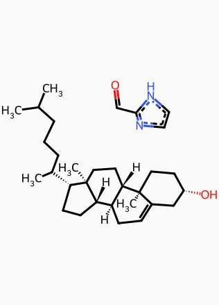 CC(C)CCCC(C)[C@H]1CC[C@H]2[C@@H]3CC=C4C[C@@H](O)CC[C@]4(C)[C@H]3CC[C@]12C.O=Cc1ncc[nH]1